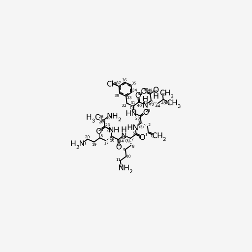 C=CC[C@H](NC(=O)[C@H](CCCCN)NC(=O)[C@H](CCCCN)NC(=O)[C@H](C)N)C(=O)N[C@@H](Cc1cccc(Cl)c1)C(=O)N[C@@H](CC(C)C)C(=O)O